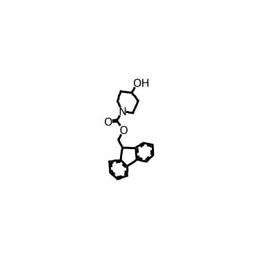 O=C(OCC1c2ccccc2-c2ccccc21)N1CCC(O)CC1